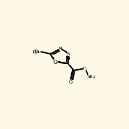 CCCCOC(=O)c1nnc(C(C)(C)C)o1